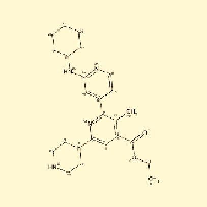 CCOC(=O)c1cc(N2CCNCC2)nc(-c2ccnc(NC3CCCCC3)c2)c1C